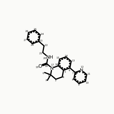 CC1(C)CCc2c(-c3ccccn3)cccc2N1C(=O)NCCc1ccccc1